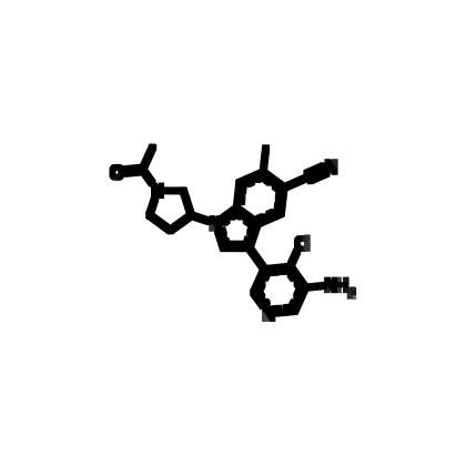 CC(=O)N1CCC(n2cc(-c3cncc(N)c3Cl)c3cc(C#N)c(C)cc32)C1